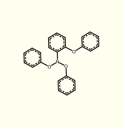 c1ccc(Oc2ccccc2N(Oc2ccccc2)Oc2ccccc2)cc1